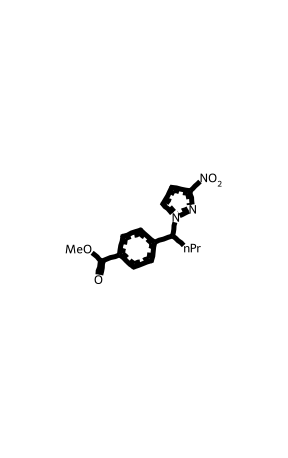 CCCC(c1ccc(C(=O)OC)cc1)n1ccc([N+](=O)[O-])n1